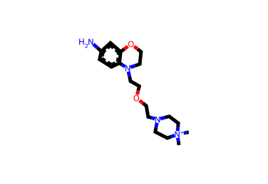 C[N+]1(C)CCN(CCOCCN2CCOc3cc(N)ccc32)CC1